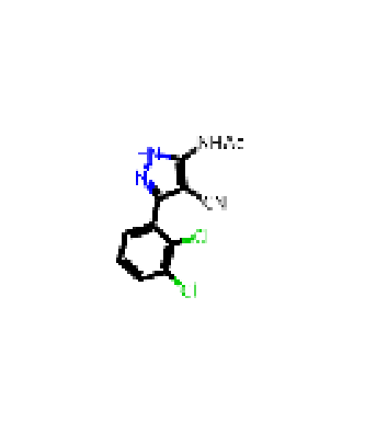 CC(=O)Nc1[nH]nc(-c2cccc(Cl)c2Cl)c1C#N